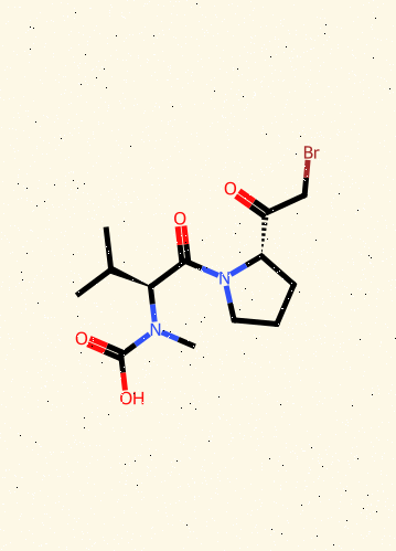 CC(C)[C@@H](C(=O)N1CCC[C@H]1C(=O)CBr)N(C)C(=O)O